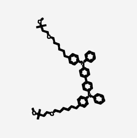 COC(C)(C)CCOCCCCCCc1ccc(N(c2ccccc2)c2ccc(-c3ccc(N(c4ccccc4)c4ccc(CCCCCCOCCC(C)(C)OC)cc4)cc3)cc2)cc1